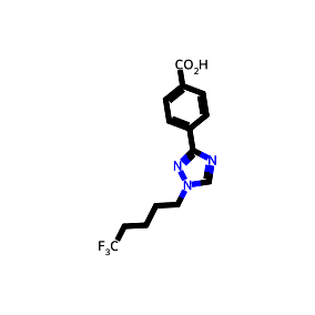 O=C(O)c1ccc(-c2ncn(CCCCC(F)(F)F)n2)cc1